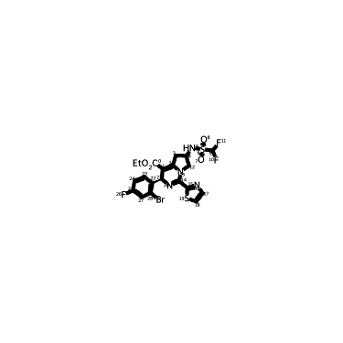 CCOC(=O)C1=C2CC(NS(=O)(=O)C(F)F)CN2C(c2nccs2)=N[C@H]1c1ccc(F)cc1Br